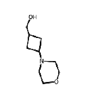 OCC1CC(N2CCOCC2)C1